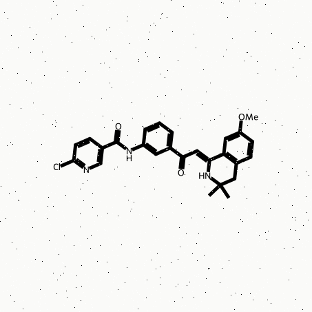 COc1ccc2c(c1)C(=CC(=O)c1cccc(NC(=O)c3ccc(Cl)nc3)c1)NC(C)(C)C2